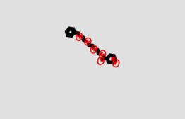 CC12CC(C(=O)OCCOCCOCCOCc3ccccc3)CCC1O2